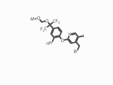 CCCc1cc(C(OCOC)(C(F)(F)F)C(F)(F)F)ccc1Oc1cc(CBr)c(I)cn1